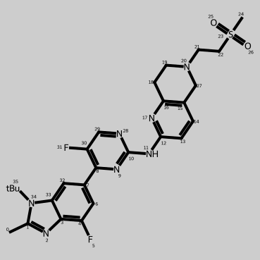 Cc1nc2c(F)cc(-c3nc(Nc4ccc5c(n4)CCN(CCS(C)(=O)=O)C5)ncc3F)cc2n1C(C)(C)C